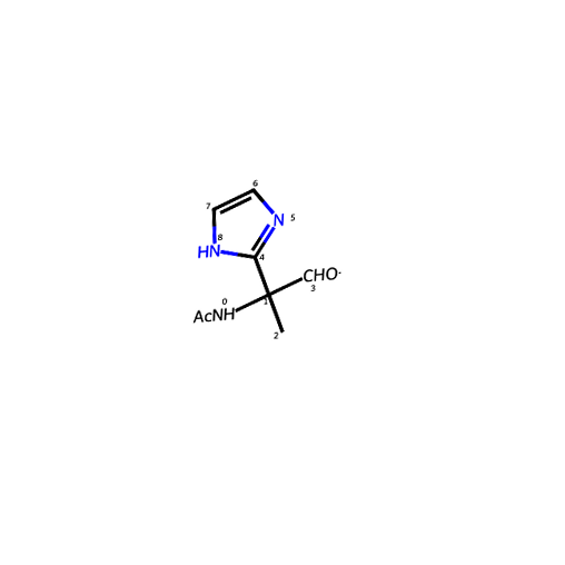 CC(=O)NC(C)([C]=O)c1ncc[nH]1